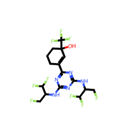 OC1(C(F)(F)F)C=C(c2nc(NC(CF)C(F)F)nc(NC(CF)C(F)F)n2)CCC1